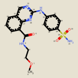 COCCNC(=O)c1cccc2cnc(Nc3ccc(S(N)(=O)=O)cc3)nc12